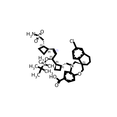 CC(C)(C)[Si](C)(C)O[C@@H](/C=C\[C@H]1CC[C@@H]1CS(N)(=O)=O)[C@@H]1CC[C@H]1CN1C[C@@]2(CCCc3cc(Cl)ccc32)COc2ccc(C(=O)O)cc21